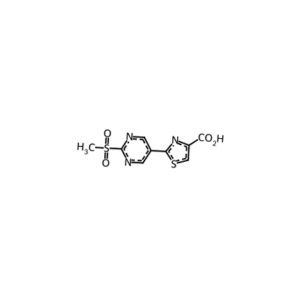 CS(=O)(=O)c1ncc(-c2nc(C(=O)O)cs2)cn1